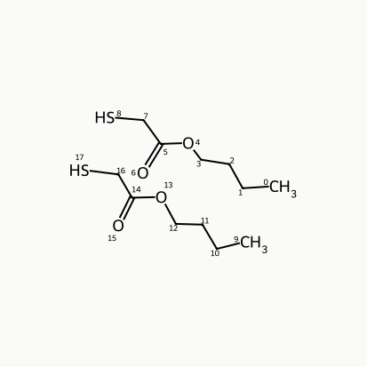 CCCCOC(=O)CS.CCCCOC(=O)CS